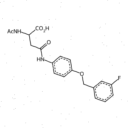 CC(=O)NC(CC(=O)Nc1ccc(OCc2cccc(F)c2)cc1)C(=O)O